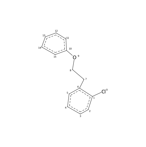 Clc1ccccc1CCOc1[c]cccc1